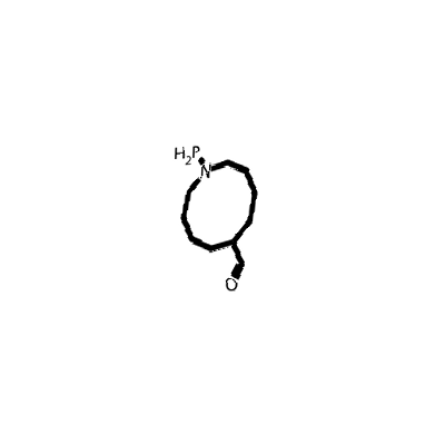 O=CC1CCCCN(P)CCCC1